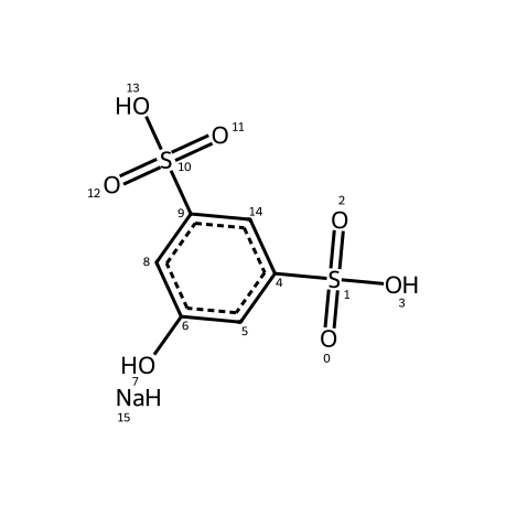 O=S(=O)(O)c1cc(O)cc(S(=O)(=O)O)c1.[NaH]